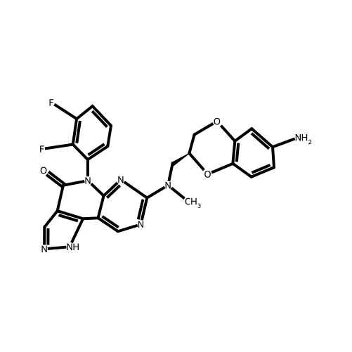 CN(C[C@H]1COc2cc(N)ccc2O1)c1ncc2c3[nH]ncc3c(=O)n(-c3cccc(F)c3F)c2n1